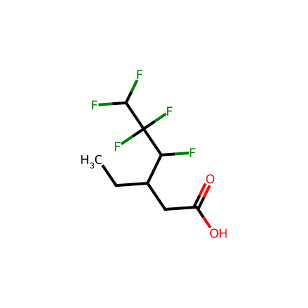 CCC(CC(=O)O)C(F)C(F)(F)C(F)F